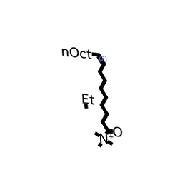 CCC.CCCCCCCC/C=C\CCCCCCCC(=O)[N+](C)(C)C